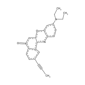 CC#Cc1ccc2c(=O)cc3oc4cc(N(CC)CC)ccc4nc-3c2c1